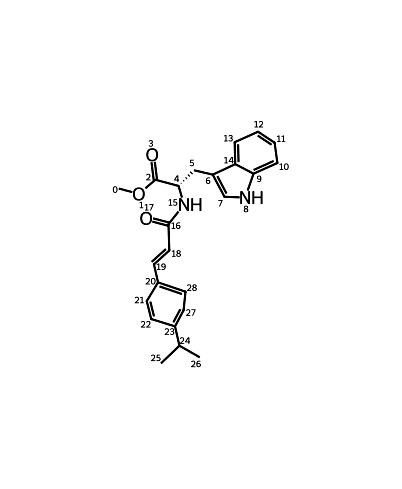 COC(=O)[C@H](Cc1c[nH]c2ccccc12)NC(=O)C=Cc1ccc(C(C)C)cc1